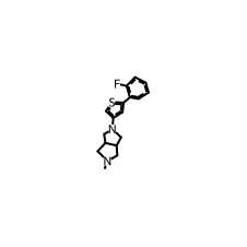 CN1CC2CN(c3csc(-c4ccccc4F)c3)CC2C1